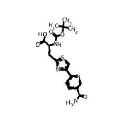 CC(C)(C)OC(=O)NC(Cc1nc(-c2ccc(C(N)=O)cn2)cs1)C(=O)O